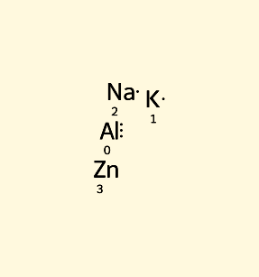 [Al].[K].[Na].[Zn]